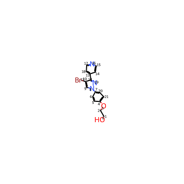 OCCOc1ccc(-n2cc(Br)c(-c3ccncc3)n2)cc1